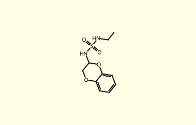 CCNS(=O)(=O)NC1COc2ccccc2O1